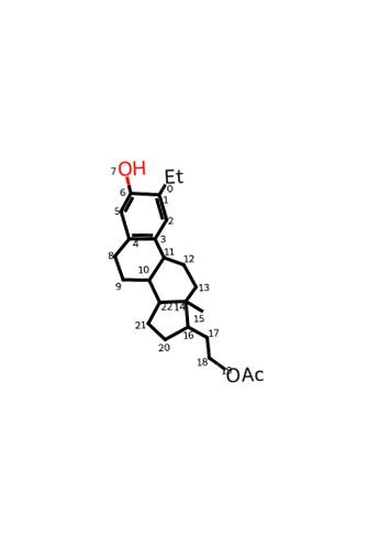 CCc1cc2c(cc1O)CCC1C2CCC2(C)C(CCOC(C)=O)CCC12